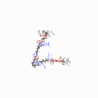 C=C(C)C(=O)OCCOC(=O)NCCCCCCN(N)C(=O)N1CCCCC1CCOC(=O)NCCCCCCN(N)C(=O)OCCOC(=O)C(=C)C